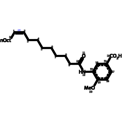 CCCCCCCC/C=C\CCCCCCCC(=O)Nc1cc(C(=O)O)ccc1OC